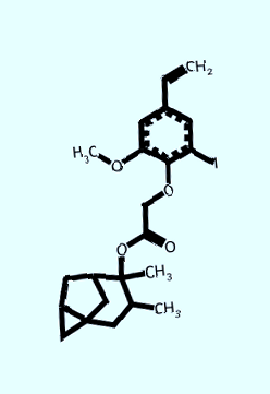 C=Cc1cc(I)c(OCC(=O)OC2(C)C(C)CC34CC3CC2C4)c(OC)c1